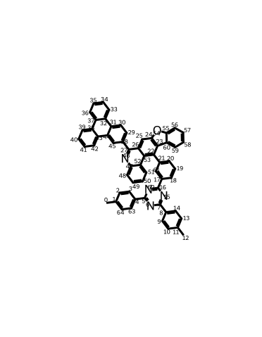 Cc1ccc(-c2nc(-c3ccc(C)cc3)nc(-c3cccc(-c4c5c(cc6c(-c7ccc8c9ccccc9c9ccccc9c8c7)nc7ccccc7c46)oc4ccccc45)c3)n2)cc1